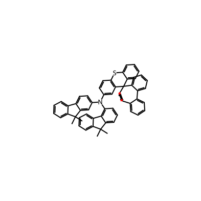 CC1(C)c2ccccc2-c2ccc(N(c3ccc4c(c3)C3(c5ccccc5S4)c4ccccc4-c4ccccc4-c4ccccc43)c3cccc4c3-c3ccccc3C4(C)C)cc21